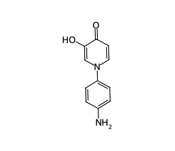 Nc1ccc(-n2ccc(=O)c(O)c2)cc1